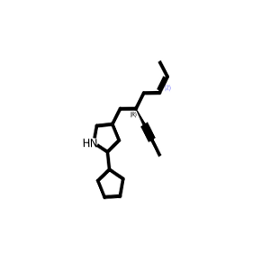 CC#C[C@H](C/C=C\C)CC1CNC(C2CCCC2)C1